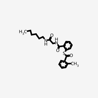 CCCCCCNC(=O)CNC(=O)c1ccccc1SC(=O)c1ccccc1C